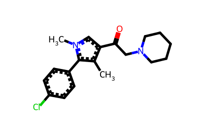 Cc1c(C(=O)CN2CCCCC2)cn(C)c1-c1ccc(Cl)cc1